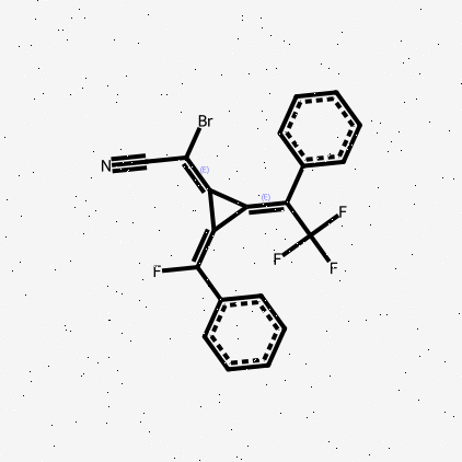 N#C/C(Br)=C1\C(=C(F)c2ccccc2)\C1=C(\c1ccccc1)C(F)(F)F